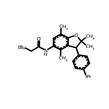 Cc1cc(NC(=O)CC(C)(C)C)c(C)c2c1OC(C)(C)C2c1ccc(C(C)C)cc1